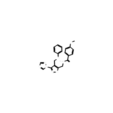 COc1ccc(C(=O)NCc2onc(-n3cncn3)c2COc2ccccc2)cc1